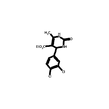 CCOC(=O)C1=C(C)NC(=O)NC1c1ccc(Cl)c(Cl)c1